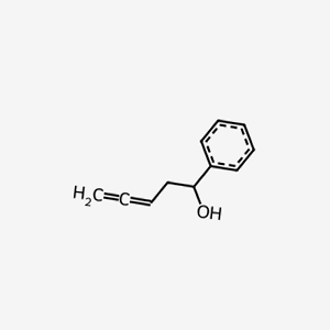 C=C=CCC(O)c1ccccc1